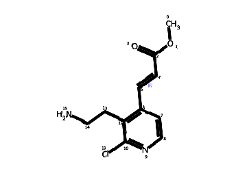 COC(=O)/C=C/c1ccnc(Cl)c1CCN